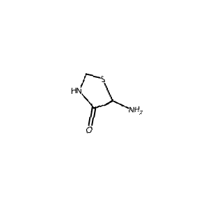 NC1SCNC1=O